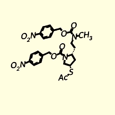 CC(=O)S[C@H]1C[C@@H](CCN(C)C(=O)OCc2ccc([N+](=O)[O-])cc2)N(C(=O)OCc2ccc([N+](=O)[O-])cc2)C1